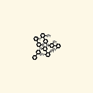 CC(C)c1cccc(C(C)C)c1-c1ccc(N2c3ccc(-c4c(C(C)C)cccc4C(C)C)cc3B3c4cc(-c5ccccc5)ccc4N(c4ccc(-c5ccccc5)cc4)c4cc(-c5c(C(C)C)cccc5C(C)C)cc2c43)cc1